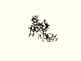 CC(C)(O)/C=C/c1nc(C(F)(F)F)c(C(=O)N2CCc3[nH]cnc3[C@H]2c2nc3ccccc3s2)o1